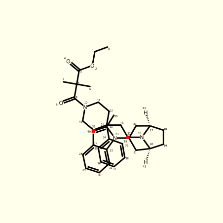 CCOC(=O)C(C)(C)C(=O)N1CCC(CCN2[C@@H]3CC[C@H]2CC(n2c(C)nc4ccccc42)C3)(c2ccccc2)CC1